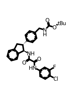 CC(C)(C)OC(=O)NCc1ccc([C@H]2Cc3ccccc3[C@@H]2NC(=O)C(=O)Nc2ccc(Cl)c(F)c2)cc1